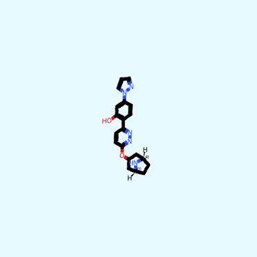 Oc1cc(-n2cccn2)ccc1-c1ccc(OC2C[C@H]3CC[C@@H](C2)N3)nn1